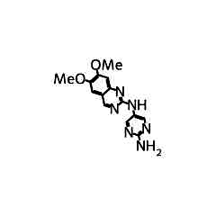 COc1cc2cnc(Nc3cnc(N)nc3)nc2cc1OC